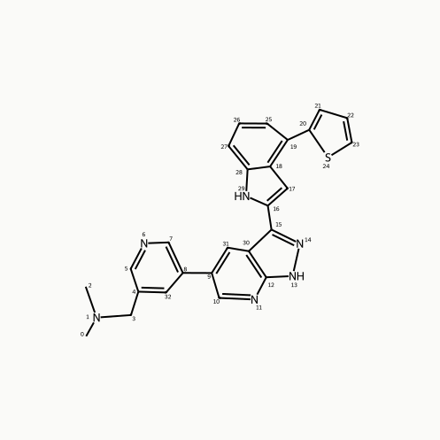 CN(C)Cc1cncc(-c2cnc3[nH]nc(-c4cc5c(-c6cccs6)cccc5[nH]4)c3c2)c1